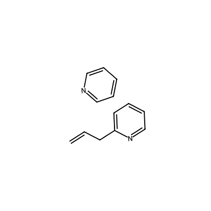 C=CCc1ccccn1.c1ccncc1